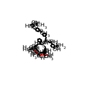 CC(CCc1ccccc1)NCC(O)c1ccc(O)c(C(N)=O)c1.CC1NC(=O)C(CC(C)(O)CO)NC(=O)C2Cc3c([nH]c4ccccc34)SCC(NC(=O)C(C(C)O)NC1=O)C(=O)N1CC(O)CC1C(=O)NC(C)C(=O)N2.COc1ccc(C[C@@H]2NC[C@@H](O)[C@@H]2OC(C)=O)cc1